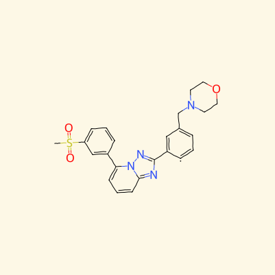 CS(=O)(=O)c1cccc(-c2cccc3nc(-c4[c]ccc(CN5CCOCC5)c4)nn23)c1